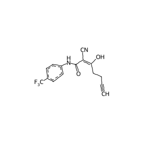 C#CCC/C(O)=C(/C#N)C(=O)Nc1ccc(C(F)(F)F)cc1